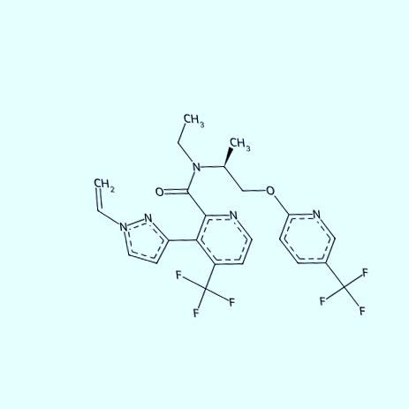 C=Cn1ccc(-c2c(C(F)(F)F)ccnc2C(=O)N(CC)[C@@H](C)COc2ccc(C(F)(F)F)cn2)n1